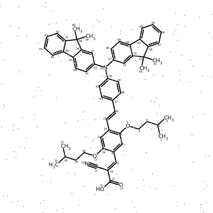 CC(C)CCOc1cc(/C=C(\C#N)C(=O)O)c(OCCC(C)C)cc1/C=C/c1ccc(N(c2ccc3c(c2)C(C)(C)c2ccccc2-3)c2ccc3c(c2)C(C)(C)c2ccccc2-3)cc1